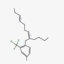 CC/C=C/CC/C=C(/CCCC)Cc1ccc(C)cc1C(F)(F)F